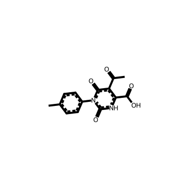 CC(=O)c1c(C(=O)O)[nH]c(=O)n(-c2ccc(C)cc2)c1=O